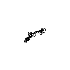 COc1ccc(-c2ccc(NC(=O)CNCCCC3=C(C)C(=O)N(C)C3=O)nn2)cc1